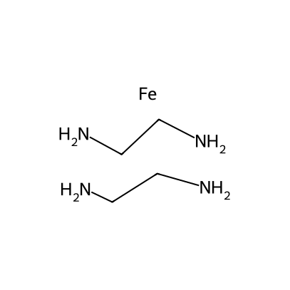 NCCN.NCCN.[Fe]